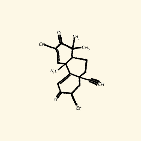 [C-]#[N+]C1=CC2(C)C3=CC(=O)C(CC)CC3(C#C)CCC2C(C)(C)C1=O